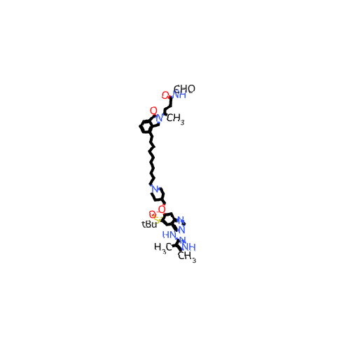 Cc1[nH]nc(Nc2ncnc3cc(OCC4CCN(CCCCCCCCCCc5cccc6c5CN(C(C)CCC(=O)NC=O)C6=O)CC4)c([S+]([O-])C(C)(C)C)cc23)c1C